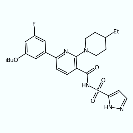 CCC1CCN(c2nc(-c3cc(F)cc(OCC(C)C)c3)ccc2C(=O)NS(=O)(=O)c2ccn[nH]2)CC1